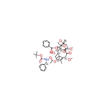 COC1C[C@H]2OC[C@@]2(OC(C)=O)[C@H]2[C@H](OC(=O)c3ccccc3)[C@]3(O)C[C@H](OC(=O)C[C@@H](NC(=O)OC(C)(C)C)c4ccccc4)C(C)=C([C@@H](OC)C(=O)[C@]12C)C3(C)C